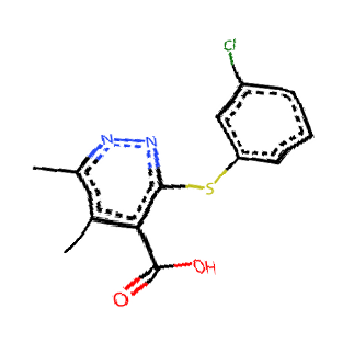 Cc1nnc(Sc2cccc(Cl)c2)c(C(=O)O)c1C